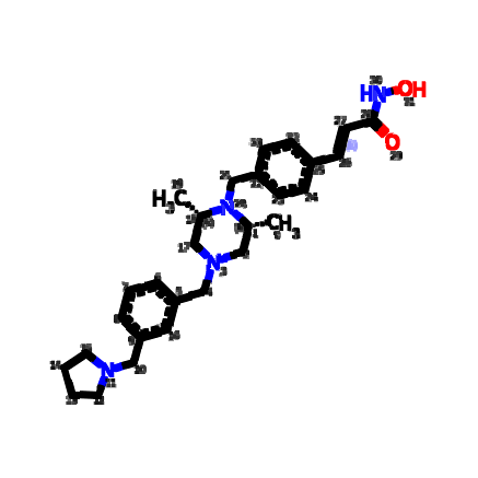 C[C@@H]1CN(Cc2cccc(CN3CCCC3)c2)C[C@H](C)N1Cc1ccc(/C=C/C(=O)NO)cc1